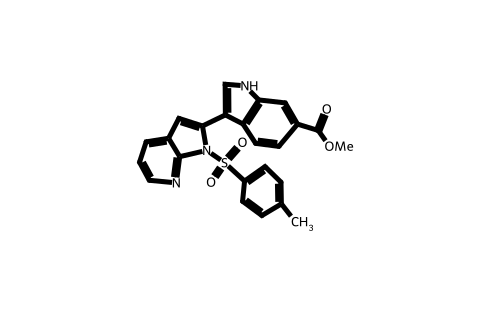 COC(=O)c1ccc2c(-c3cc4cccnc4n3S(=O)(=O)c3ccc(C)cc3)c[nH]c2c1